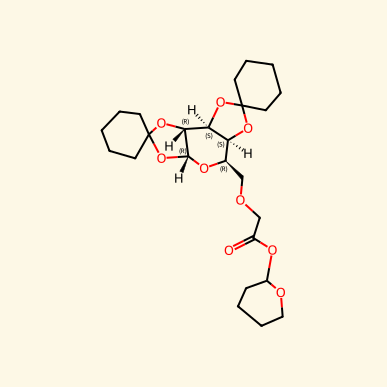 O=C(COC[C@H]1O[C@@H]2OC3(CCCCC3)O[C@@H]2[C@H]2OC3(CCCCC3)O[C@H]21)OC1CCCCO1